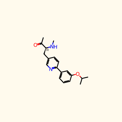 CN[C@@H](Cc1ccc(-c2cccc(OC(C)C)c2)nc1)C(C)=O